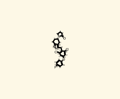 O=C1CCCN1[C@H]1CCc2n[nH]c(Cc3c(Cl)cc(Oc4ccc(F)cc4)cc3Cl)c2C1